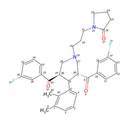 Cc1cccc(C2[C@@H](C(=O)c3cccc(F)c3)CN(CCCN3CCCC3=O)C[C@@H]2C(=O)c2cccc(F)c2)c1C